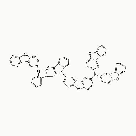 c1ccc2c(c1)oc1ccc(B(c3ccc4oc5ccccc5c4c3)c3ccc4oc5ccc(-n6c7ccccc7c7cc8c(cc76)c6ccccc6n8-c6ccc7oc8ccccc8c7c6)cc5c4c3)cc12